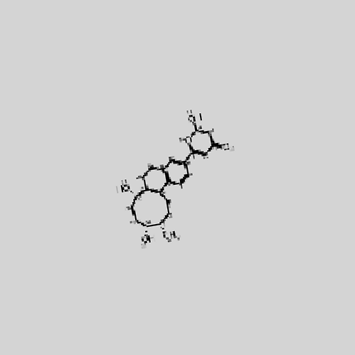 C[C@H]1CCC2c3ccc(C4=CC(=O)CC(O)O4)cc3CCC2[C@@H](O)CC[C@H]1O